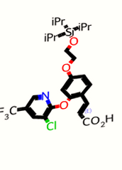 CC(C)[Si](OCCOc1ccc(/C=C/C(=O)O)c(Oc2ncc(C(F)(F)F)cc2Cl)c1)(C(C)C)C(C)C